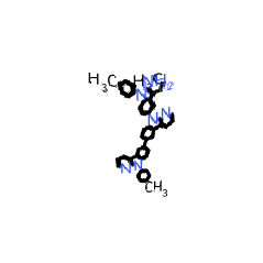 C/C=C\c1c(N)n(-c2ccc(C)cc2)c2ccc(-n3c4ccc(-c5ccc6c(c5)c5cccnc5n6-c5ccc(C)cc5)cc4c4cccnc43)cc12